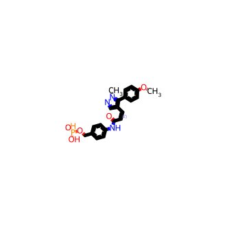 COc1ccc(-c2c(/C=C\C(=O)Nc3ccc(CO[PH](=O)O)cc3)cnn2C)cc1